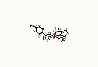 C[C@@H]1C[C@H]2CC[C@@H](C1)C2CCCc1ccc(F)cc1